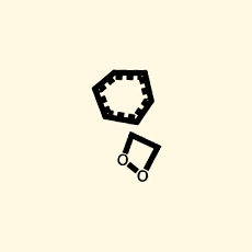 C1COO1.c1ccccc1